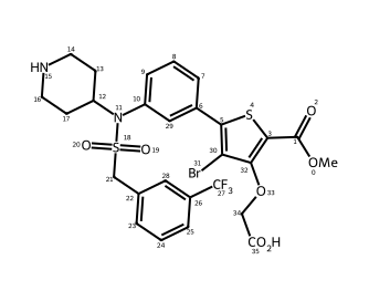 COC(=O)c1sc(-c2cccc(N(C3CCNCC3)S(=O)(=O)Cc3cccc(C(F)(F)F)c3)c2)c(Br)c1OCC(=O)O